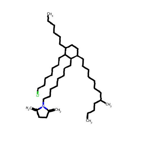 C=C1CCC(=C)N1CCCCCCCCC1C(CCCCCCCC(C)CCCC)CCC(CCCCCC)C1CCCCCCCCl